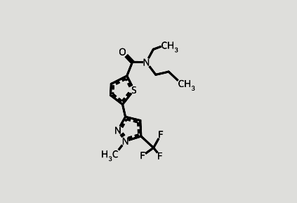 CCCN(CC)C(=O)c1ccc(-c2cc(C(F)(F)F)n(C)n2)s1